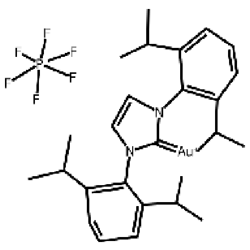 CC(C)c1cccc(C(C)C)c1-n1ccn(-c2c(C(C)C)cccc2C(C)C)[c]1=[Au+].F[P-](F)(F)(F)(F)F